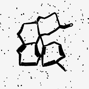 Cc1ccc(C23CC(=O)CCN2CCc2ccccc23)cc1